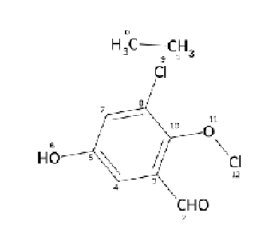 CC.O=Cc1cc(O)cc(Cl)c1OCl